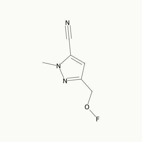 Cn1nc(COF)cc1C#N